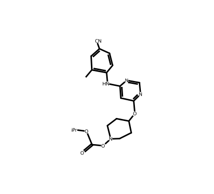 Cc1cc(C#N)ccc1Nc1cc(OC2CCN(OC(=O)OC(C)C)CC2)ncn1